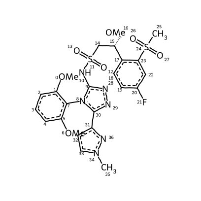 COc1cccc(OC)c1-n1c(NS(=O)(=O)C[C@H](OC)c2ccc(F)cc2S(C)(=O)=O)nnc1-c1ccn(C)n1